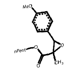 CCCCCOC(=O)C1(C)OC1c1ccc(OC)cc1